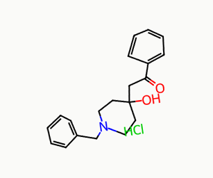 Cl.O=C(CC1(O)CCN(Cc2ccccc2)CC1)c1ccccc1